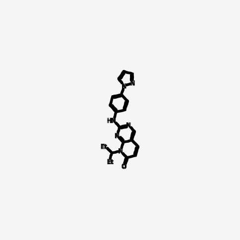 CCC(CC)n1c(=O)ccc2cnc(Nc3ccc(-n4cccn4)cc3)nc21